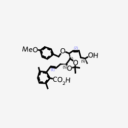 COc1ccc(COC(/C=C\C[C@H](C)O)[C@H]2OC(C)(C)O[C@H]2C/C=C/c2c(C)ccc(C)c2C(=O)O)cc1